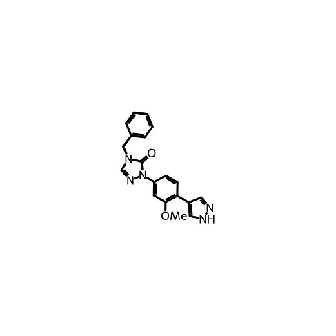 COc1cc(-n2ncn(Cc3ccccc3)c2=O)ccc1-c1cn[nH]c1